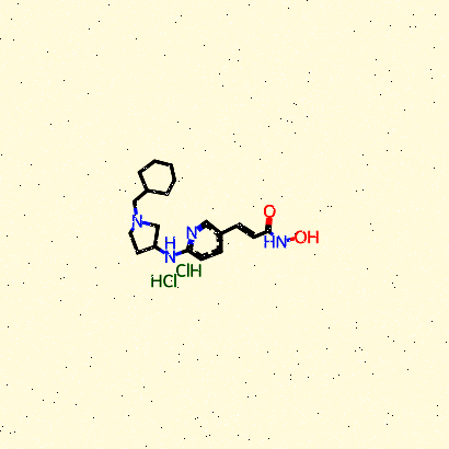 Cl.Cl.O=C(/C=C/c1ccc(NC2CCN(CC3CCCCC3)C2)nc1)NO